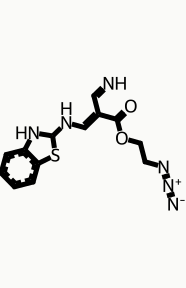 [N-]=[N+]=NCCOC(=O)/C(C=N)=C/NC1Nc2ccccc2S1